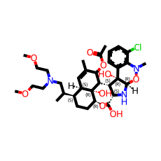 COCCN(CCOC)CC(C)[C@@H]1CC[C@@H](C)[C@]2(O)C([C@H]3[C@@H](C(=O)O)N[C@@H]4ON(C)c5c(Cl)cccc5[C@@]43O)C(OC(C)=O)C(C)=C[C@H]12